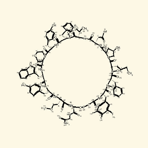 CCCC[C@H]1C(=O)N2C[C@H](O)C[C@@H]2C(=O)N[C@@H](CC(=O)O)C(=O)N[C@@H](C(C)C)C(=O)N(C)[C@@H](Cc2ccccc2)C(=O)N[C@@H](Cc2ccc(O)cc2)C(=O)N2CCOC[C@@H]2C(=O)N[C@@H](Cc2c[nH]c3ccccc23)C(=O)N[C@@H](Cc2ccc(O)cc2)C(=O)N[C@@H](CCOC)C(=O)N[C@H](C(=O)NCC(N)=O)CSCC(=O)N[C@@H](Cc2cc(F)c(F)c(F)c2)C(=O)N(C)[C@@H](Cc2ccccc2)C(=O)N1C